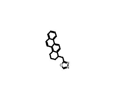 c1ccc2c(c1)ccc1c3c(ccc12)C(Cc1nnco1)CCC3